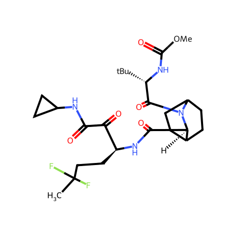 COC(=O)N[C@H](C(=O)N1C2CCC(CC2)[C@H]1C(=O)N[C@@H](CCC(C)(F)F)C(=O)C(=O)NC1CC1)C(C)(C)C